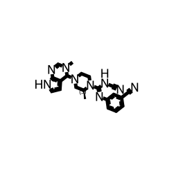 C[C@H]1CN(C2c3cc[nH]c3N=CN2C)CCN1C(=Nc1cccc(C#N)c1)NC#N